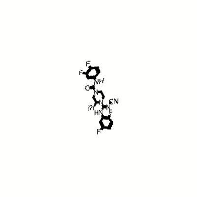 CC(C)C1CN(C(=O)Nc2ccc(F)c(F)c2)CCN1/C(=N\C#N)Nc1cc(F)ccc1F